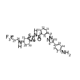 Nc1ccc(-c2cnn(Cc3cccc(C(=O)Nc4nc5c(s4)C[C@@H](NCCC(F)(F)F)CC5)c3)c2)cc1